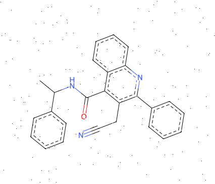 CC(NC(=O)c1c(CC#N)c(-c2ccccc2)nc2ccccc12)c1ccccc1